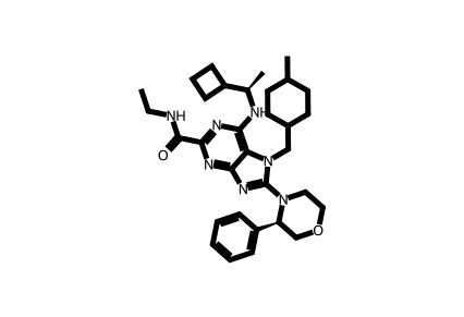 CCNC(=O)c1nc(N[C@H](C)C2CCC2)c2c(n1)nc(N1CCOC[C@H]1c1ccccc1)n2CC1CCC(C)CC1